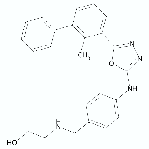 Cc1c(-c2ccccc2)cccc1-c1nnc(Nc2ccc(CNCCO)cc2)o1